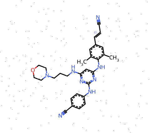 Cc1cc(/C=C/C#N)cc(C)c1Nc1cc(NCCCN2CCOCC2)nc(Nc2ccc(C#N)cc2)n1